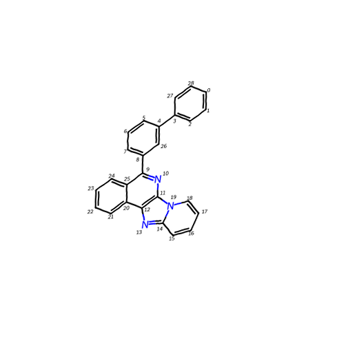 c1ccc(-c2cccc(-c3nc4c(nc5ccccn54)c4ccccc34)c2)cc1